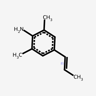 C/C=C/c1cc(C)c(N)c(C)c1